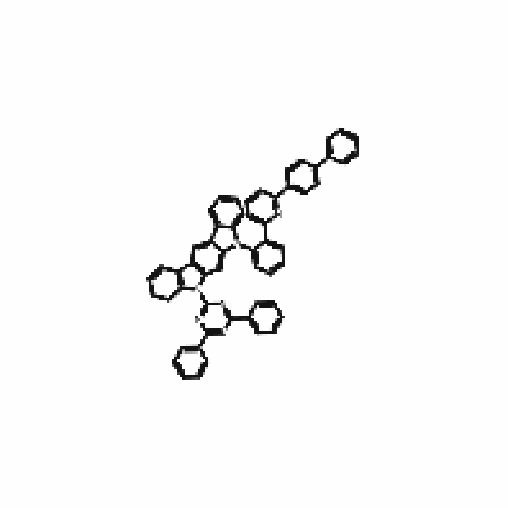 C1=Cc2c(n(-c3nc(-c4ccccc4)nc(-c4ccccc4)n3)c3cc4c(cc23)c2ccccc2n4-c2ccccc2-c2cccc(-c3ccc(-c4ccccc4)cc3)n2)CC1